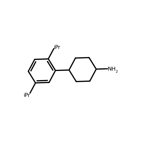 CC(C)c1ccc(C(C)C)c(C2CCC(N)CC2)c1